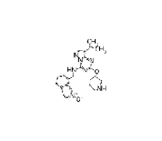 CC(C)c1cnn2c(NCc3cccc4cc[n+]([O-])cc34)nc(OC3CCCNC3)nc12